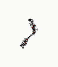 O=C1CCC(N2C(=O)c3ccc(NCCCCCCCCC(=O)N4CCC(Nc5cc(C(=O)NC[C@H](O)CN6CCc7ccccc7C6)ncn5)CC4)cc3C2=O)C(=O)N1